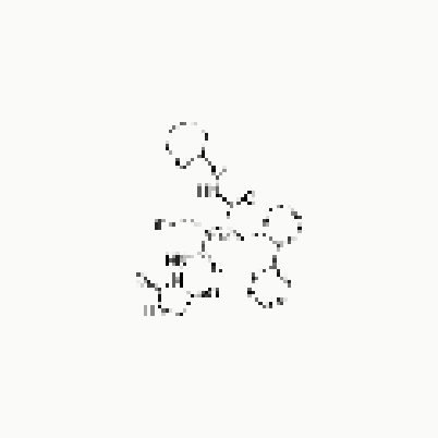 CC(C)C[C@@H](C(=O)NN1C(=O)CNC1=O)[C@H](Cc1ccccc1-c1ccccc1)C(=O)NOC1CCCCO1